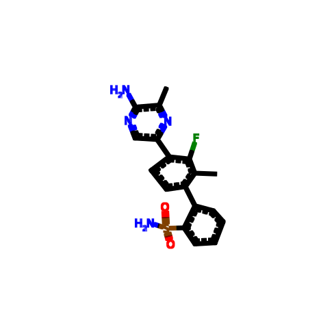 Cc1nc(-c2ccc(-c3ccccc3S(N)(=O)=O)c(C)c2F)cnc1N